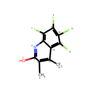 Cc1c(O)nc2c(F)c(F)c(F)c(F)c2c1C(F)(F)F